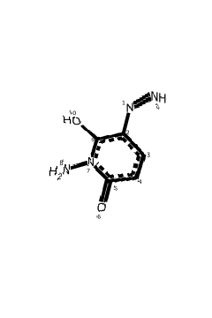 N=Nc1ccc(=O)n(N)c1O